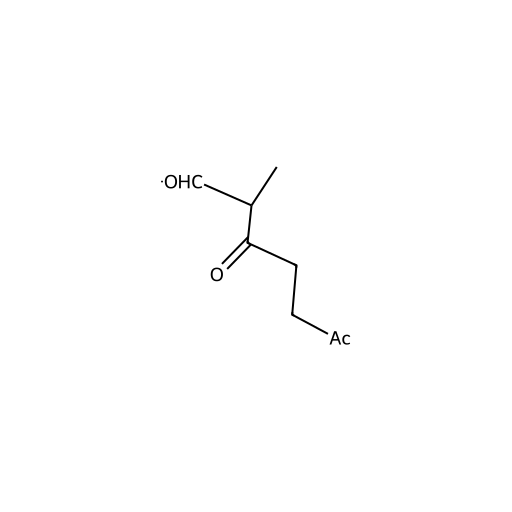 CC(=O)CCC(=O)C(C)[C]=O